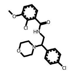 COc1cccc(C(=O)NCC(c2ccc(Cl)cc2)N2CCOCC2)c1Cl